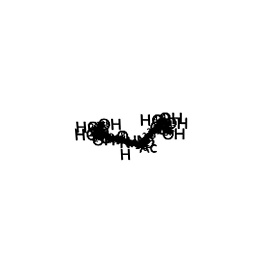 CC(=O)[C@@H](CCCCNC(=O)CCCCOC1OC(CO)C(O)C(O)C1O)NC(=O)CCCCOC1O[C@H](CO)C(O)C(O)C1O